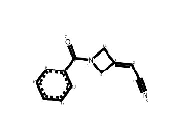 N#CC=C1CN(C(=O)c2ccccc2)C1